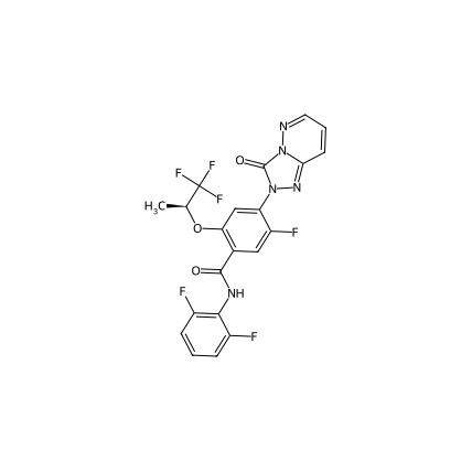 C[C@H](Oc1cc(-n2nc3cccnn3c2=O)c(F)cc1C(=O)Nc1c(F)cccc1F)C(F)(F)F